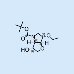 CCO[C@H]1CN(C(=O)OC(C)(C)C)[C@H]2[C@@H]1OC[C@@H]2O